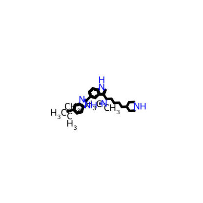 CN(C)C(CCCCC1CCNCC1)c1c[nH]c2ccc(-c3nc4cc(C(C)(C)C)ccc4[nH]3)cc12